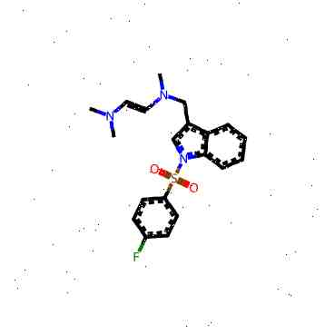 CN(C)C=CN(C)Cc1cn(S(=O)(=O)c2ccc(F)cc2)c2ccccc12